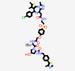 Cc1ncsc1-c1ccc(CNC(=O)[C@@H]2C[C@@H](O)CN2C(=O)[C@@H](NC(=O)COc2ccc(S(=O)(=O)CCNC(=O)CC3N=C(c4ccc(Cl)cc4)c4c(sc(C)c4C)-n4c(C)nnc43)cc2)C(C)(C)C)cc1